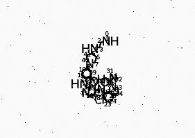 CNCCNC1CCN(c2ccc(Nc3ncc(Cl)c(Nc4cccc5c4N(C(=O)N(C)C)CC5)n3)c(OC)c2)CC1